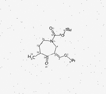 CC(C)O/C=C1\CN(C(=O)OC(C)(C)C)CCC(C)C1=O